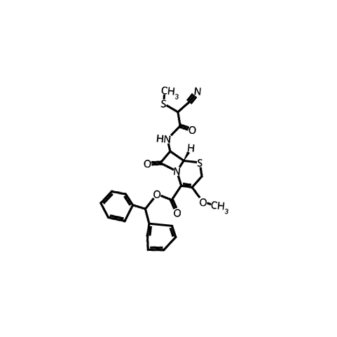 COC1=C(C(=O)OC(c2ccccc2)c2ccccc2)N2C(=O)C(NC(=O)C(C#N)SC)[C@@H]2SC1